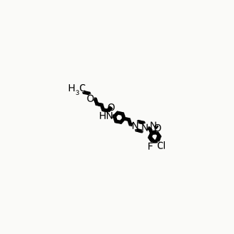 CCCOCCCCC(=O)NC1CCC(CCN2CCN(c3noc4cc(Cl)c(F)cc34)CC2)CC1